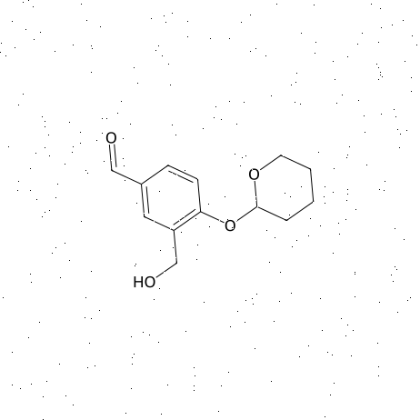 O=Cc1ccc(OC2CCCCO2)c(CO)c1